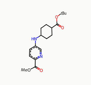 COC(=O)c1ccc(NC2CCC(C(=O)OC(C)(C)C)CC2)cn1